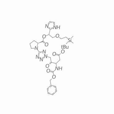 CC(C)(C)OC(=O)CC(NC(=O)OCc1ccccc1)C(=O)Cn1nnc(N2CCC[C@H]2C(=O)OC(COCC[Si](C)(C)C)c2ncc[nH]2)n1